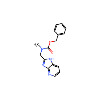 CN(Cc1nc2ncccc2[nH]1)C(=O)OCc1ccccc1